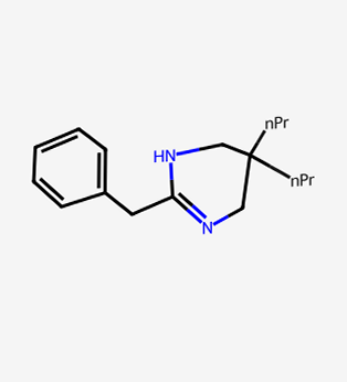 CCCC1(CCC)CN=C(Cc2ccccc2)NC1